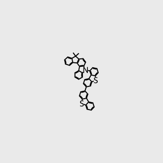 CC1(C)c2ccccc2-c2c1ccc1c2c2ccccc2n1-c1cccc2sc3cc(-c4ccc5sc6ccccc6c5c4)ccc3c12